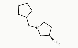 C[C@@H]1CCN(CC2CCCC2)C1